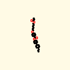 C=CC(=O)OCCCCCCOc1ccc(C(=O)Oc2ccc([C@H]3CC[C@H](CCC)CC3)cc2)cc1